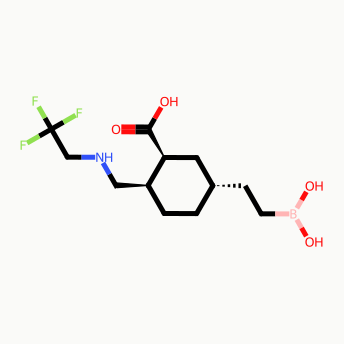 O=C(O)[C@H]1C[C@H](CCB(O)O)CC[C@H]1CNCC(F)(F)F